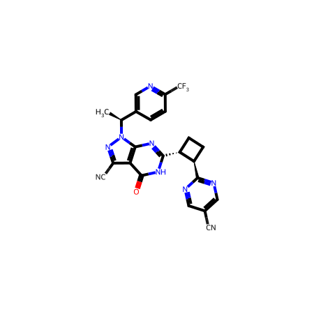 C[C@@H](c1ccc(C(F)(F)F)nc1)n1nc(C#N)c2c(=O)[nH]c([C@@H]3CC[C@H]3c3ncc(C#N)cn3)nc21